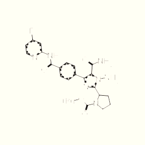 CC(C)(C)OC(=O)N1CCCC1c1nc(-c2ccc(C(=O)Nc3cc(F)ccn3)cc2)c(C(N)=O)n1N